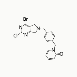 O=c1ccccn1Cc1ccc(CN2Cc3nc(Cl)nc(Br)c3C2)cc1